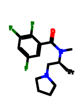 CC(C)[C@@H](CN1CCCC1)N(C)C(=O)c1cc(F)cc(F)c1F